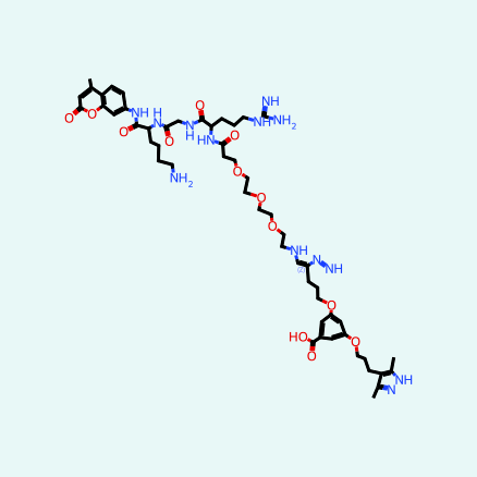 Cc1n[nH]c(C)c1CCCOc1cc(OCCC/C(=C/NCCOCCOCCOCCC(=O)NC(CCCNC(=N)N)C(=O)NCC(=O)NC(CCCCN)C(=O)Nc2ccc3c(C)cc(=O)oc3c2)N=N)cc(C(=O)O)c1